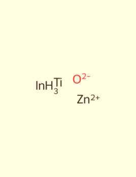 [InH3].[O-2].[Ti].[Zn+2]